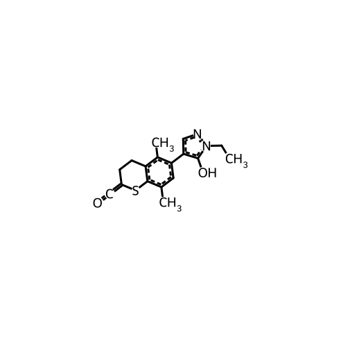 CCn1ncc(-c2cc(C)c3c(c2C)CCC(=C=O)S3)c1O